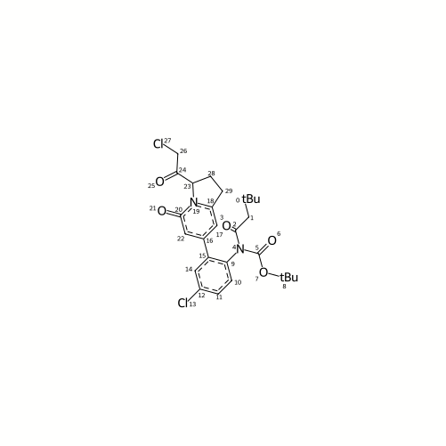 CC(C)(C)CC(=O)N(C(=O)OC(C)(C)C)c1ccc(Cl)cc1-c1cc2n(c(=O)c1)C(C(=O)CCl)CC2